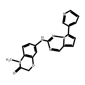 CN1C(=O)COc2cc(Nc3ncc4ccc(-c5cccnc5)n4n3)ccc21